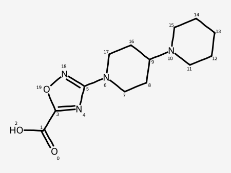 O=C(O)c1nc(N2CCC(N3CCCCC3)CC2)no1